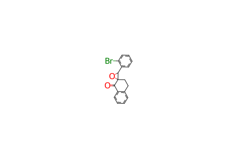 O=C1c2ccccc2CCC12OC2c1ccccc1Br